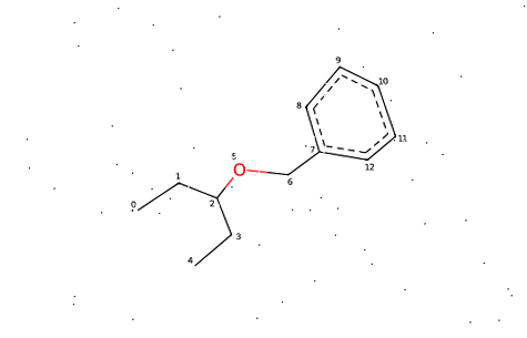 [CH2]CC(CC)OCc1ccccc1